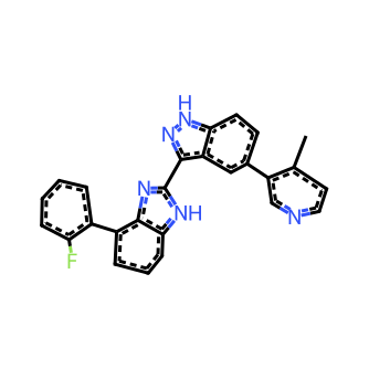 Cc1ccncc1-c1ccc2[nH]nc(-c3nc4c(-c5ccccc5F)cccc4[nH]3)c2c1